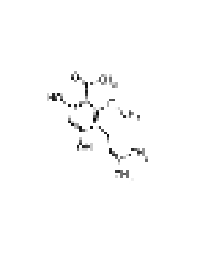 COc1c(CC=C(C)C)c(O)cc(O)c1C(C)=O